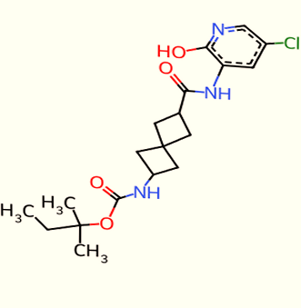 CCC(C)(C)OC(=O)NC1CC2(C1)CC(C(=O)Nc1cc(Cl)cnc1O)C2